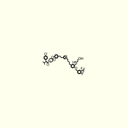 CC(C)[C@H](C(=O)N1CCC2(CC1)Oc1ccc(CCc3cnn(CCCCc4ccc(OCc5ccc(F)c(C(F)(F)F)c5)c(CNCCO)c4)c3)cc1O2)c1ccc(Cl)cc1